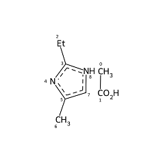 CC(=O)O.CCc1nc(C)c[nH]1